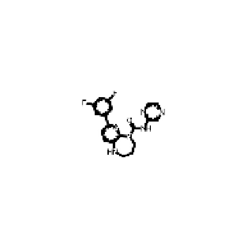 O=C(Nc1cnccn1)N1CCCNc2ccc(-c3cc(F)cc(F)c3)nc21